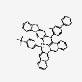 Cc1cc(-c2ccccc2)ccc1N1c2cc3sc4ccccc4c3cc2Bc2c(-c3cc4ccccc4cc3Nc3ccc(C(C)(C)C)cc3)cc3ccccc3c21